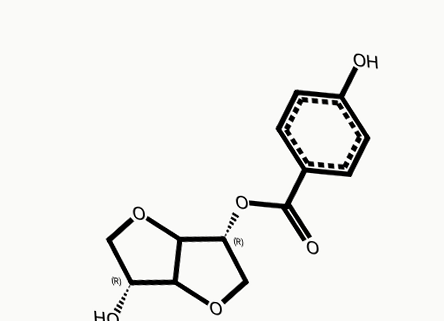 O=C(O[C@@H]1COC2C1OC[C@H]2O)c1ccc(O)cc1